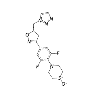 [O-][S+]1CCN(c2c(F)cc(C3=NOC(Cn4ccnn4)C3)cc2F)CC1